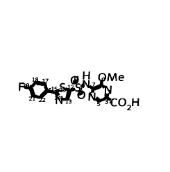 COc1nc(C(=O)O)cnc1NS(=O)(=O)c1cnc(-c2ccc(F)cc2)s1